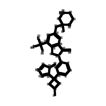 CC1CC(c2cccc(N3Cc4c(cc(CC5(C)CNCCO5)cc4C(F)(F)F)C3=O)c2)(c2nncn2C)C1